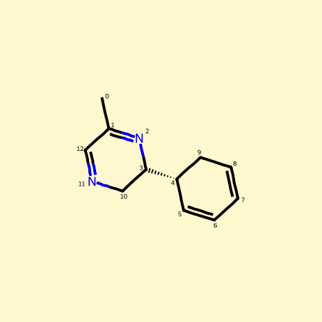 CC1=NC([C@H]2C=CC=CC2)CN=C1